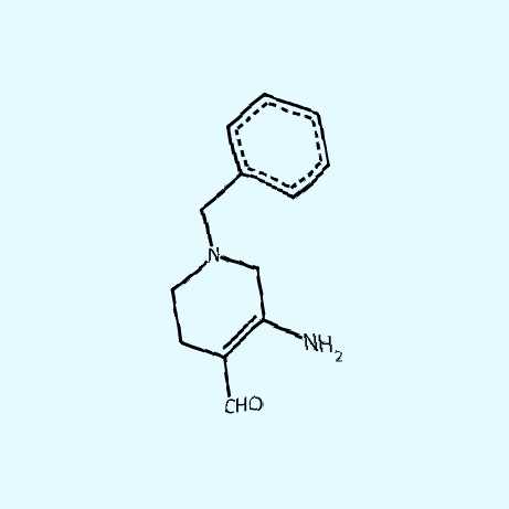 NC1=C(C=O)CCN(Cc2ccccc2)C1